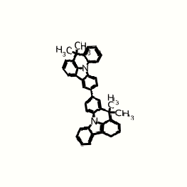 CC1(C)C2=CCCc3c2n(c2ccccc32)-c2ccc(-c3ccc4c(c3)c3cccc5c3n4-c3ccccc3C5(C)C)cc21